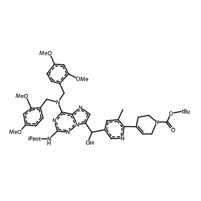 CCCC(C)Nc1nc(N(Cc2ccc(OC)cc2OC)Cc2ccc(OC)cc2OC)c2ncc(C(O)c3cnc(C4=CCN(C(=O)OC(C)(C)C)CC4)c(C)c3)n2n1